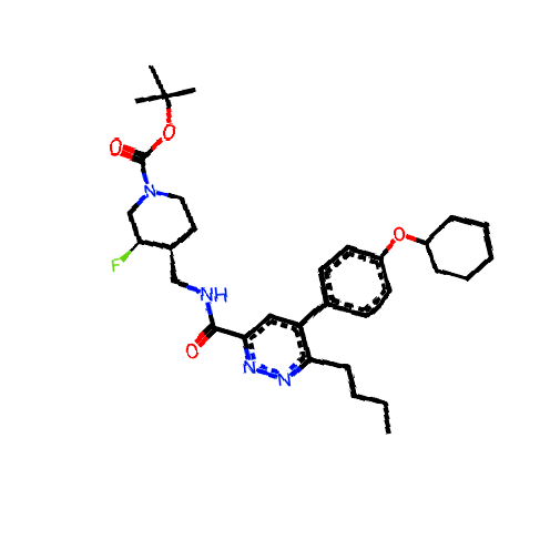 CCCCc1nnc(C(=O)NC[C@@H]2CCN(C(=O)OC(C)(C)C)C[C@@H]2F)cc1-c1ccc(OC2CCCCC2)cc1